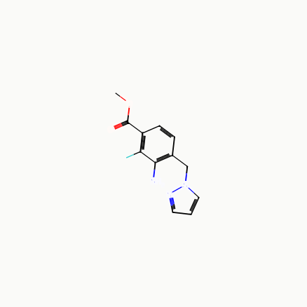 COC(=O)c1ccc(Cn2cccn2)c(N)c1F